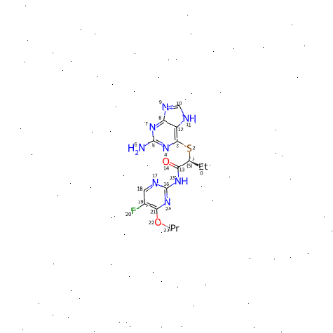 CC[C@H](Sc1nc(N)nc2nc[nH]c12)C(=O)Nc1ncc(F)c(OC(C)C)n1